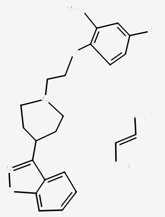 COc1cc(C(C)=O)ccc1OCCN1CCC(c2noc3ccccc23)CC1.O=C(O)C=CC(=O)O